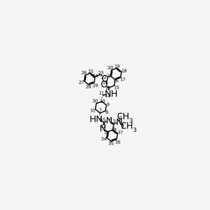 CN(C)c1nc(N[C@H]2CC[C@@H](CNC(=O)Cc3ccccc3OCc3ccccc3)CC2)nc2ccccc12